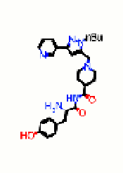 CCCCn1nc(-c2cccnc2)cc1CN1CCC(C(=O)NC(=O)[C@@H](N)Cc2ccc(O)cc2)CC1